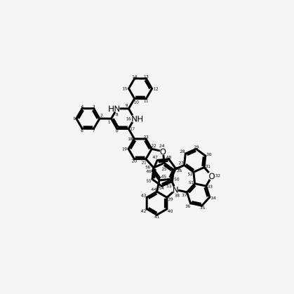 C1=C(c2ccccc2)NC(C2=CC=CCC2)NC=1c1ccc2c(c1)oc1c(-c3cccc4oc5cccc(-n6c7ccccc7c7ccccc76)c5c34)cccc12